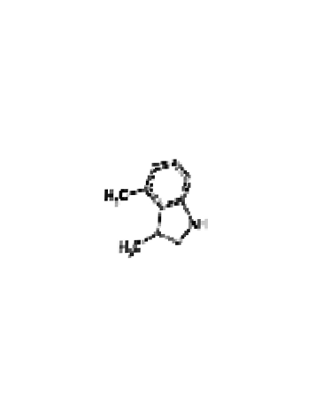 Cc1cccc2c1C(C)CN2